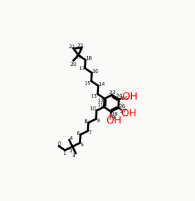 CCC(C)(C)CCCCCCc1c(CCCCCCC2(C)CC2)cc(O)c(O)c1O